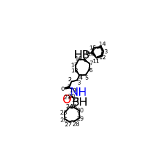 C=C(CCC1CCCC(Bc2ccccc2)CCC1)NC(=O)BC1CCCCCCC1